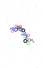 BC1(N2Cc3cc(CNC(=O)C(F)(F)c4cccc(Cl)c4C)ccc3C2=O)CCC(=O)NC1=O